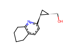 OC[C@H]1C[C@@H]1c1ccc2c(n1)CCCC2